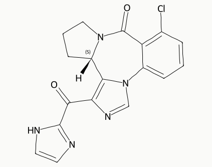 O=C(c1ncc[nH]1)c1ncn2c1[C@@H]1CCCN1C(=O)c1c(Cl)cccc1-2